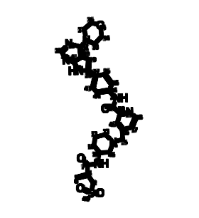 C=C(CS(C)(=O)=O)C(=O)N[C@@H]1CCCN(Cc2ccnc(C(=O)Nc3ccc(-c4cc5c(N6CCOCC6)ncnc5[nH]4)cc3)c2)C1